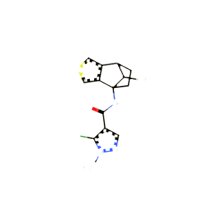 CC1C2CCC1(NC(=O)c1cnn(C)c1Cl)c1cscc12